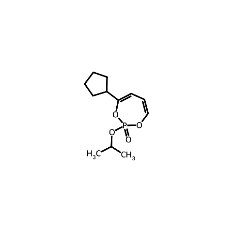 CC(C)OP1(=O)OC=CC=C(C2CCCC2)O1